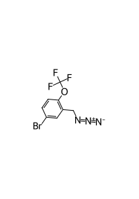 [N-]=[N+]=NCc1cc(Br)ccc1OC(F)(F)F